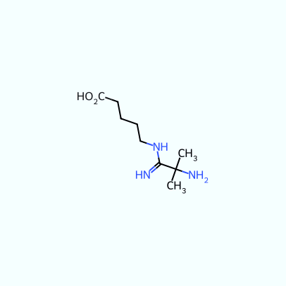 CC(C)(N)C(=N)NCCCCC(=O)O